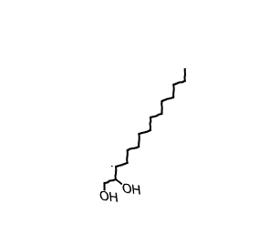 CCCCCCCCCCCC[CH]C(O)CO